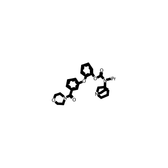 CC(C)N(C(=O)Oc1ccccc1Oc1cccc(C(=O)N2CCOCC2)c1)C1CN2CCC1CC2